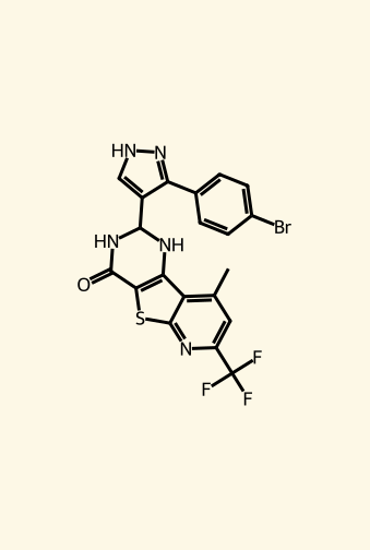 Cc1cc(C(F)(F)F)nc2sc3c(c12)NC(c1c[nH]nc1-c1ccc(Br)cc1)NC3=O